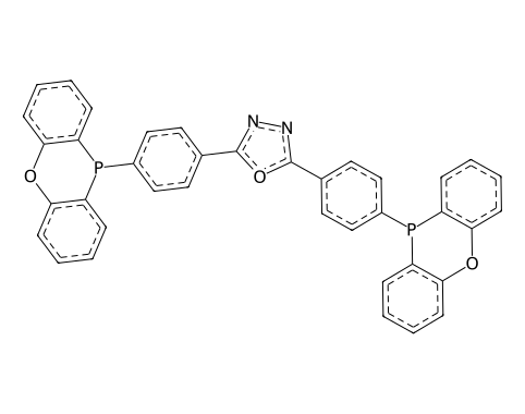 c1ccc2c(c1)Oc1ccccc1P2c1ccc(-c2nnc(-c3ccc(P4c5ccccc5Oc5ccccc54)cc3)o2)cc1